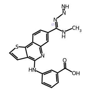 CN/C(=N\N=N)c1ccc2c(c1)nc(Nc1cccc(C(=O)O)c1)c1ccsc12